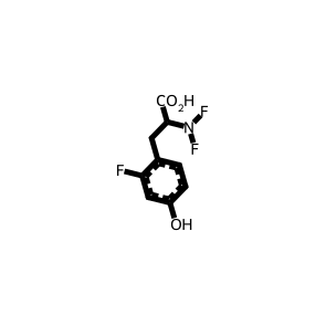 O=C(O)C(Cc1ccc(O)cc1F)N(F)F